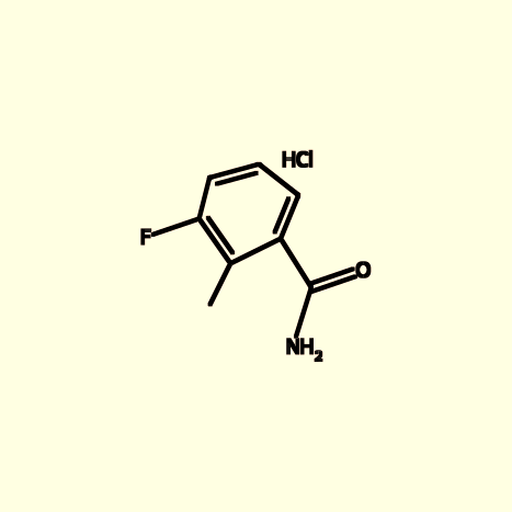 Cc1c(F)cccc1C(N)=O.Cl